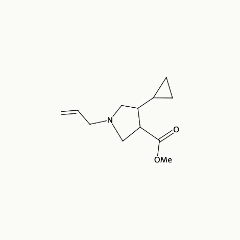 C=CCN1CC(C(=O)OC)C(C2CC2)C1